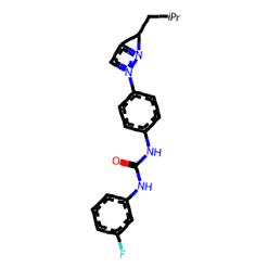 CC(C)CC1c2cn(-c3ccc(NC(=O)Nc4cccc(F)c4)cc3)n21